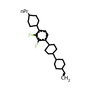 C=CC1CCC(C2CCC(c3ccc(C4CCC(CCC)CC4)c(F)c3F)CC2)CC1